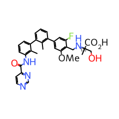 COc1cc(-c2cccc(-c3cccc(NC(=O)c4ccncn4)c3C)c2C)cc(F)c1CN[C@@](C)(CO)C(=O)O